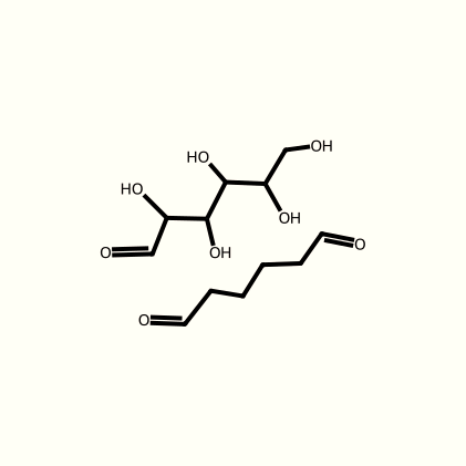 O=CC(O)C(O)C(O)C(O)CO.O=CCCCCC=O